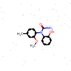 [CH2]c1ccc(N(C(N)=O)c2ccccc2O)c(OC)c1